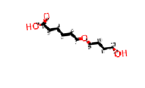 O=C(O)CCCCCOCCCCO